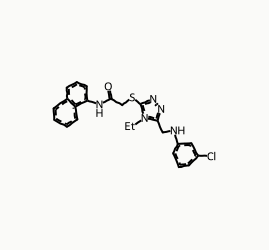 CCn1c(CNc2cccc(Cl)c2)nnc1SCC(=O)Nc1cccc2ccccc12